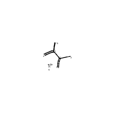 C=C(C)C(=C)C.[Ti+4]